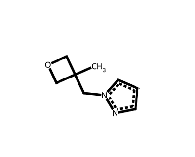 CC1(Cn2c[c]cn2)COC1